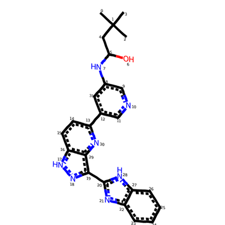 CC(C)(C)CC(O)Nc1cncc(-c2ccc3[nH]nc(-c4nc5ccccc5[nH]4)c3n2)c1